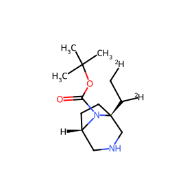 [2H]CC([2H])[C@@]12CC[C@@H](CNC1)N2C(=O)OC(C)(C)C